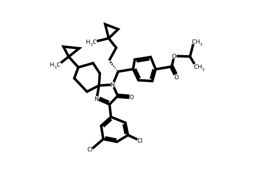 CC(C)OC(=O)c1ccc([C@@H](CCC2(C)CC2)N2C(=O)C(c3cc(Cl)cc(Cl)c3)=NC23CCC(C2(C)CC2)CC3)cc1